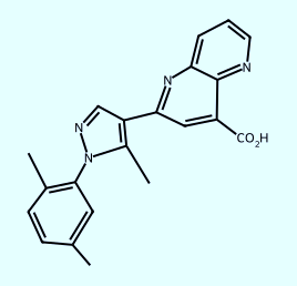 Cc1ccc(C)c(-n2ncc(-c3cc(C(=O)O)c4ncccc4n3)c2C)c1